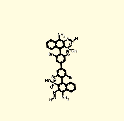 [H]/N=N/c1c(S(=O)(=O)O)c(-c2c(Br)cc(-c3cc(Br)c(-c4c(S(=O)(=O)O)c(/N=N/[H])c(N)c5ccccc45)c(Br)c3)cc2Br)c2ccccc2c1N